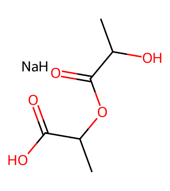 CC(O)C(=O)OC(C)C(=O)O.[NaH]